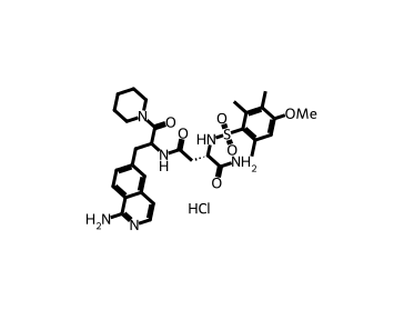 COc1cc(C)c(S(=O)(=O)N[C@@H](CC(=O)NC(Cc2ccc3c(N)nccc3c2)C(=O)N2CCCCC2)C(N)=O)c(C)c1C.Cl